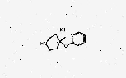 CC1(Oc2ccccn2)CCNCC1.Cl